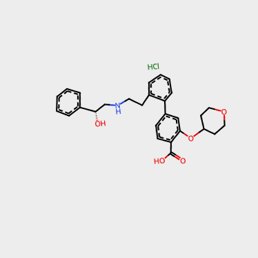 Cl.O=C(O)c1ccc(-c2ccccc2CCNC[C@H](O)c2ccccc2)cc1OC1CCOCC1